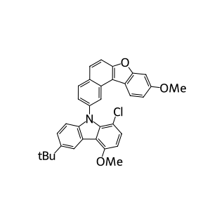 COc1ccc2c(c1)oc1ccc3ccc(-n4c5ccc(C(C)(C)C)cc5c5c(OC)ccc(Cl)c54)cc3c12